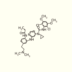 C=CC(=O)Nc1ccc(CCN(C)C)cc1Nc1cc(N(C(=O)Nc2c(Cl)c(OC)cc(OC)c2Cl)C2CC2)ncn1